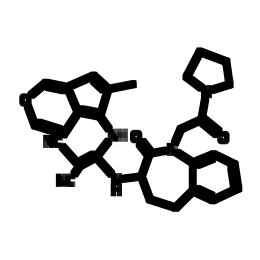 Cc1cc2coccc-2c1NC(NC1CCc2ccccc2N(CC(=O)N2CCCC2)C1=O)=C(C#N)C#N